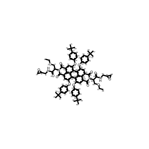 CCOCC(C(=O)NCC1CO1)N1C(=O)c2cc(Oc3ccc(C(C)(C)C)cc3)c3c4c(Oc5ccc(C(C)(C)C)cc5)cc5c6c(cc(Oc7ccc(C(C)(C)C)cc7)c(c7c(Oc8ccc(C(C)(C)C)cc8)cc(c2c37)C1=O)c64)C(=O)N(C(COCC)C(=O)NCC1CO1)C5=O